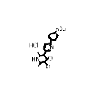 CCCCc1ccc(-c2ccc(-c3c(C)[nH]c(C)c(Br)c3=O)cn2)cc1.Cl